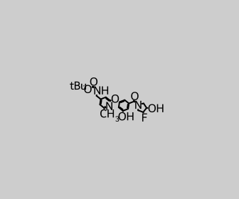 Cc1cc(CNC(=O)OC(C)(C)C)cc(Oc2cc(O)cc(C(=O)N3CC(O)C(F)C3)c2)n1